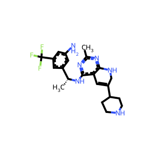 Cc1nc2c(c(N[C@H](C)c3cc(N)cc(C(F)(F)F)c3)n1)C=C(C1CCNCC1)CN2